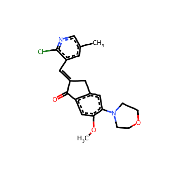 COc1cc2c(cc1N1CCOCC1)C/C(=C\c1cc(C)cnc1Cl)C2=O